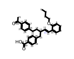 CCCCOc1ccccc1/C=C/C(CCc1ccc(C(C)=O)cc1)Cc1ccc(C(=O)O)cc1